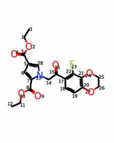 CCOC(=O)c1cc(C(=O)OCC)n(CC(=O)c2ccc3c(c2F)OCCO3)c1